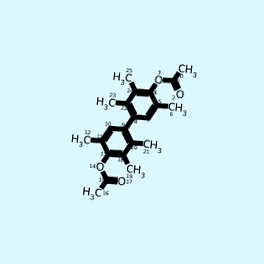 CC(=O)Oc1c(C)cc(-c2cc(C)c(OC(C)=O)c(C)c2C)c(C)c1C